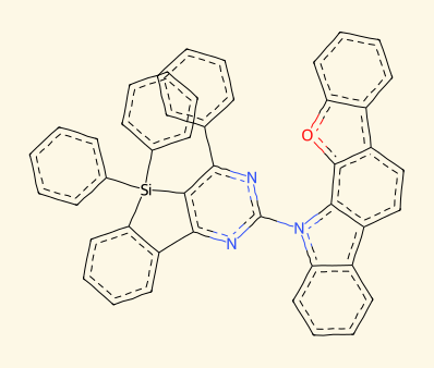 c1ccc(-c2nc(-n3c4ccccc4c4ccc5c6ccccc6oc5c43)nc3c2[Si](c2ccccc2)(c2ccccc2)c2ccccc2-3)cc1